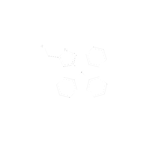 SCc1cn(C(c2ccccc2)(c2ccccc2)c2ccccc2)nn1